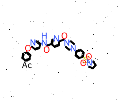 CC(=O)c1ccc(Oc2ccc(NC(=O)c3ccc(C(=O)N4CCN(c5ccc(S(=O)(=O)N6CCCC6)cc5)CC4)nc3)cn2)cc1